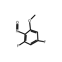 COc1cc(F)cc(F)c1N=O